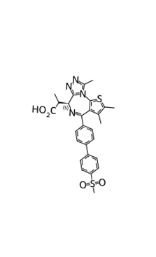 Cc1sc2c(c1C)C(c1ccc(-c3ccc(S(C)(=O)=O)cc3)cc1)=N[C@@H](C(C)C(=O)O)c1nnc(C)n1-2